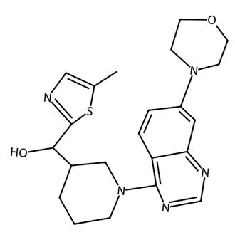 Cc1cnc(C(O)C2CCCN(c3ncnc4cc(N5CCOCC5)ccc34)C2)s1